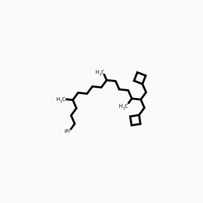 CC(C)CCCC(C)CCCCC(C)CCCC(C)C(CC1CCC1)CC1CCC1